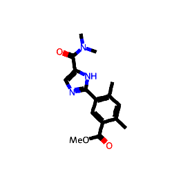 COC(=O)c1cc(-c2ncc(C(=O)N(C)C)[nH]2)c(C)cc1C